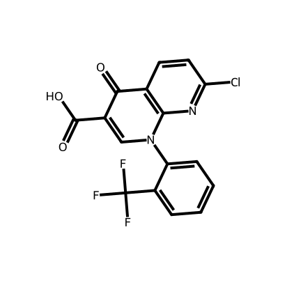 O=C(O)c1cn(-c2ccccc2C(F)(F)F)c2nc(Cl)ccc2c1=O